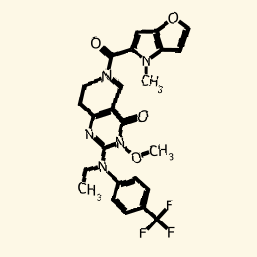 CCN(c1ccc(C(F)(F)F)cc1)c1nc2c(c(=O)n1OC)CN(C(=O)c1cc3occc3n1C)CC2